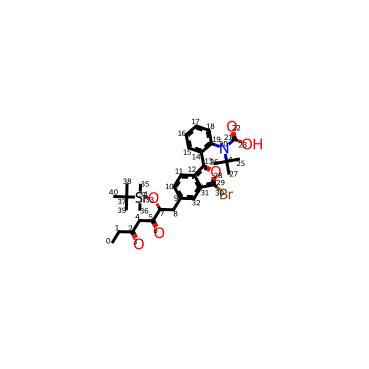 CCC(=O)CC(=O)C(Cc1ccc2c(-c3ccccc3N(C(=O)O)C(C)(C)C)oc(Br)c2c1)O[Si](C)(C)C(C)(C)C